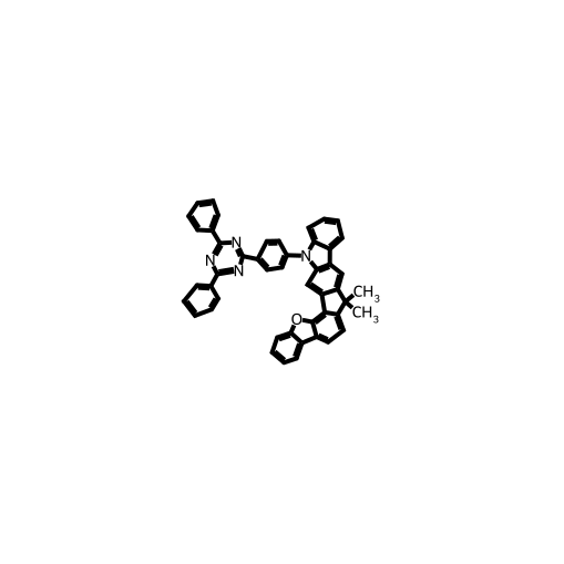 CC1(C)c2cc3c4ccccc4n(-c4ccc(-c5nc(-c6ccccc6)nc(-c6ccccc6)n5)cc4)c3cc2-c2c1ccc1c2oc2ccccc21